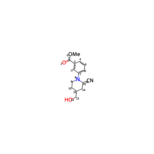 COC(=O)c1cccc(N2CCC(CO)CC2C#N)c1